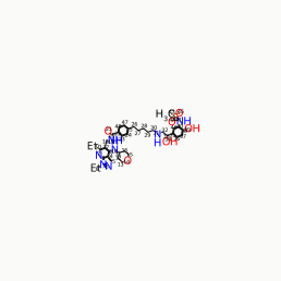 CCc1nc2c(cnn2CC)c(NC2CCOCC2)c1CNC(=O)c1ccc(CCCCCNC[C@H](O)c2ccc(O)c(NS(C)(=O)=O)c2)cc1